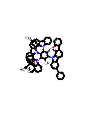 C#Cc1c(/C=C\C)oc2c1ccc1c3cc(C(C)(C)C)ccc3n(-c3c(-n4c5ccccc5c5ccccc54)c(C#N)c(-n4c5ccc(-c6ccccc6)cc5c5ccc6c7ccccc7oc6c54)c(C#N)c3-n3c4ccccc4c4ccccc43)c12